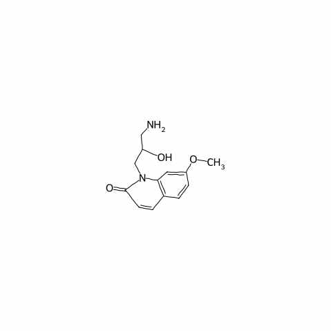 COc1ccc2ccc(=O)n(CC(O)CN)c2c1